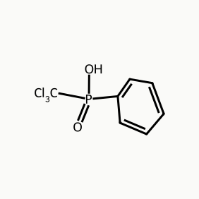 O=P(O)(c1ccccc1)C(Cl)(Cl)Cl